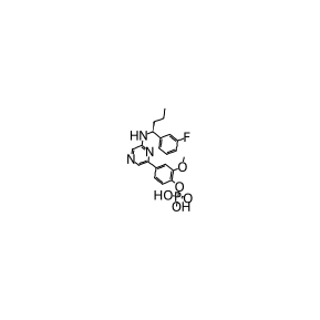 CCC[C@H](Nc1cncc(-c2ccc(OP(=O)(O)O)c(OC)c2)n1)c1cccc(F)c1